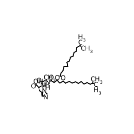 CC(C)CCCCCCCCCCCC(=O)OC(CCCCCCCCCCCC(C)C)CC(=O)N[C@@H](C)C(=O)N[C@@H](Cc1cnc[nH]1)C(=O)O